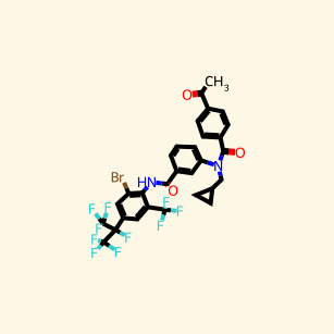 CC(=O)c1ccc(C(=O)N(CC2CC2)c2cccc(C(=O)Nc3c(Br)cc(C(F)(C(F)(F)F)C(F)(F)F)cc3C(F)(F)F)c2)cc1